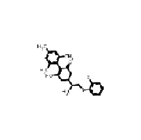 Cc1cc(C)c(C2=C(O)CC(C(C)CSc3ccccc3F)CC2=O)c(C)c1